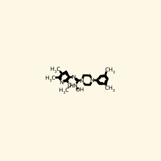 COc1nc(C)c(C)cc1N=C(NO)N1CCN(c2cc(C)cc(C)c2)CC1